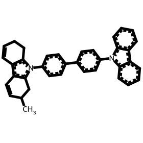 CC1C=Cc2c3c(n(-c4ccc(-c5ccc(-n6c7ccccc7c7ccccc76)cc5)cc4)c2C1)CCC=C3